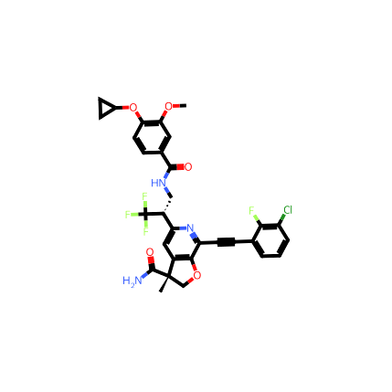 COc1cc(C(=O)NC[C@H](c2cc3c(c(C#Cc4cccc(Cl)c4F)n2)OC[C@]3(C)C(N)=O)C(F)(F)F)ccc1OC1CC1